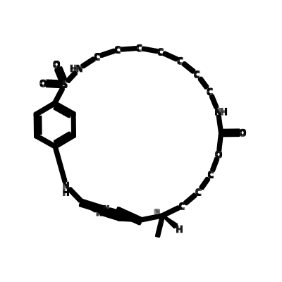 C[C@H]1CCCOC(=O)NCCCCCCCNS(=O)(=O)c2ccc(cc2)Nc2ncc1cn2